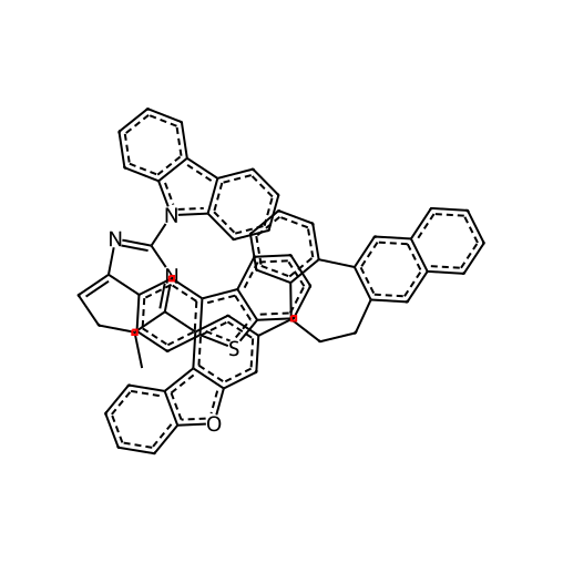 CC1C/C=C(c2ccc3sc4ccccc4c3c2)/N=C(n2c3ccccc3c3ccccc32)\N=C/1c1cc(C2CCc3cc4ccccc4cc3-c3ccccc32)cc2oc3ccccc3c12